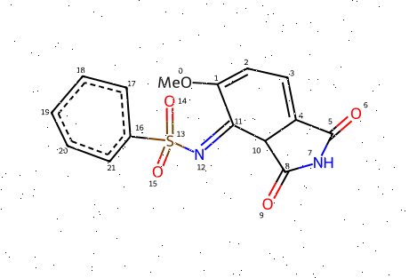 COC1=CC=C2C(=O)NC(=O)C2C1=NS(=O)(=O)c1ccccc1